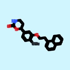 COc1ccc(C2CCNC(=O)O2)cc1OCCc1cccc2ccccc12